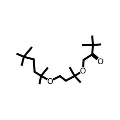 CC(C)(C)CCC(C)(C)OCCC(C)(C)OCC(=O)C(C)(C)C